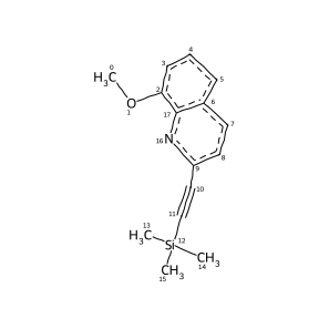 COc1cccc2ccc(C#C[Si](C)(C)C)nc12